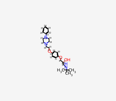 CC(C)(C)NC[C@H](O)COc1ccc(OCCN2CCN(c3ccccc3)CC2)cc1